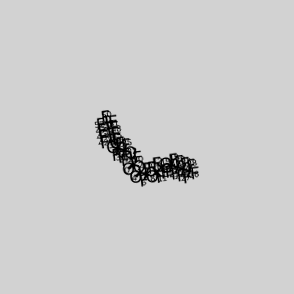 O=C(OC(=O)C(F)(F)OC(F)(F)C(F)(F)OC(F)(F)C(F)(F)C(F)(F)C(F)(F)F)C(F)(F)OC(F)(F)C(F)(F)OC(F)(F)C(F)(F)C(F)(F)C(F)(F)F